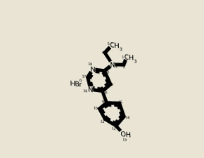 Br.CCN(CC)c1cc(-c2ccc(O)cc2)ncn1